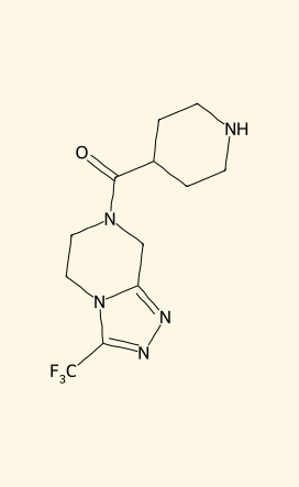 O=C(C1CCNCC1)N1CCn2c(nnc2C(F)(F)F)C1